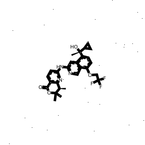 C[C@@H]1c2nc(Nc3cc4c([C@](C)(O)C5CC5)ccc(OCC(F)(F)F)c4cn3)ccc2C(=O)OC1(C)C